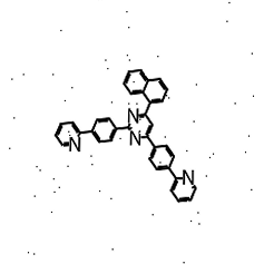 c1ccc(-c2ccc(-c3cc(-c4cccc5ccccc45)nc(-c4ccc(-c5ccccn5)cc4)n3)cc2)nc1